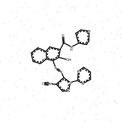 [C-]#[N+]c1cnn(-c2ncccn2)c1/N=N/c1c(O)c(C(=O)Nc2ccncc2)cc2ccccc12